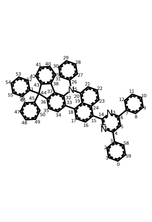 c1ccc(-c2cc(-c3ccccc3)nc(-c3ccc4c5c(cccc35)N(c3ccccc3)c3c-4ccc4c3-c3ccccc3C4(c3ccccc3)c3ccccc3)n2)cc1